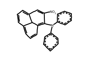 O=[N+]([O-])C1=CC2=CC=CC3=CC=CC(=C1N(c1ccccc1)c1ccccc1)C32